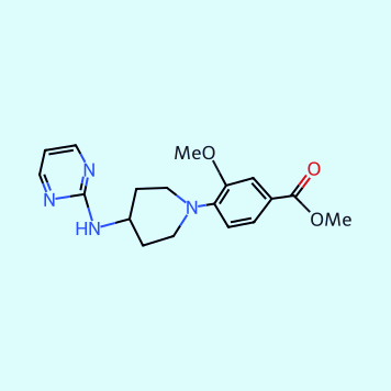 COC(=O)c1ccc(N2CCC(Nc3ncccn3)CC2)c(OC)c1